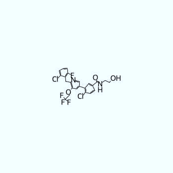 O=C(NCCO)c1ccc(Cl)c(-c2cnc(Cc3c(F)cccc3Cl)c(OCC(F)(F)F)c2)c1